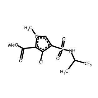 COC(=O)c1c(Cl)c(S(=O)(=O)NC(C)C(F)(F)F)cn1C